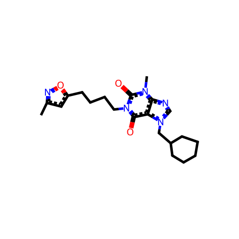 Cc1cc(CCCCn2c(=O)c3c(ncn3CC3CCCCC3)n(C)c2=O)on1